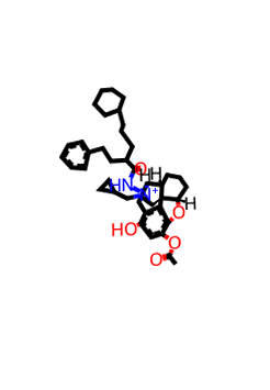 CC(=O)Oc1cc(O)c2c3c1O[C@H]1CCC[C@H]4[C@@H](C2)[N+](CC2CC2)(NC(=O)C(CCCC2CCCCC2)CCc2ccccc2)CC[C@]314